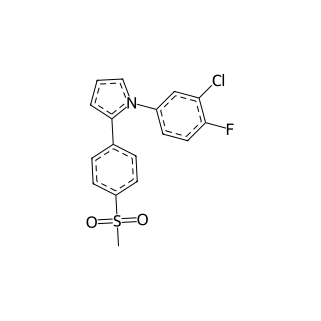 CS(=O)(=O)c1ccc(-c2cccn2-c2ccc(F)c(Cl)c2)cc1